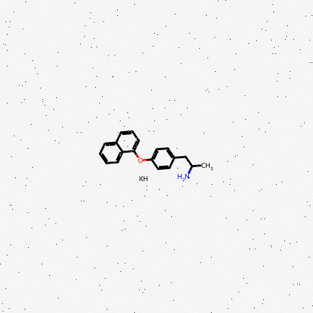 CC(N)Cc1ccc(Oc2cccc3ccccc23)cc1.[KH]